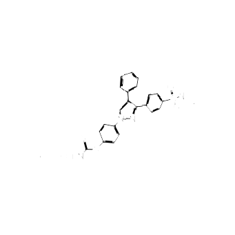 CN(O)C(=S)Sc1ccc(-n2cc(-c3ccccc3)c(-c3ccc(S(N)(=O)=O)cc3)n2)cc1